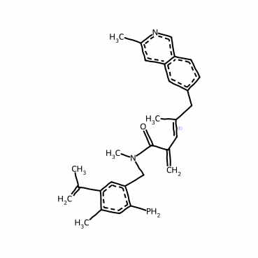 C=C(/C=C(\C)Cc1ccc2cnc(C)cc2c1)C(=O)N(C)Cc1cc(C(=C)C)c(C)cc1P